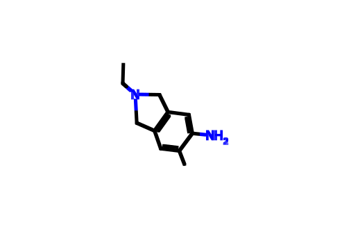 CCN1Cc2cc(C)c(N)cc2C1